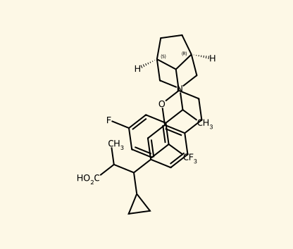 CC(C(=O)O)C(c1ccc2c(c1)OC(C1[C@@H]3CC[C@H]1CN(C(C)c1cc(F)ccc1C(F)(F)F)C3)CC2)C1CC1